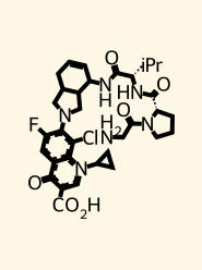 CC(C)[C@H](NC(=O)[C@@H]1CCCN1C(=O)CN)C(=O)NC1C=CCC2CN(c3c(F)cc4c(=O)c(C(=O)O)cn(C5CC5)c4c3Cl)CC21